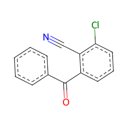 N#Cc1c(Cl)cccc1C(=O)c1ccccc1